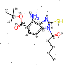 CCCCC(=O)n1c(S)nc2c(N)c(C(=O)OC(C)(C)C)ccc21